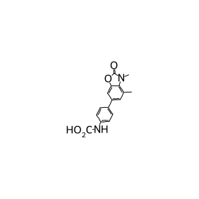 Cc1cc(-c2ccc(NC(=O)O)cc2)cc2oc(=O)n(C)c12